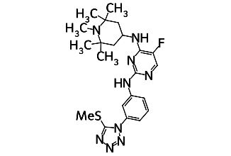 CSc1nnnn1-c1cccc(Nc2ncc(F)c(NC3CC(C)(C)N(C)C(C)(C)C3)n2)c1